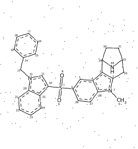 Cn1c2c(c3cc(S(=O)(=O)c4cn(Cc5ccccc5)c5ccccc45)ccc31)C1CCC(C2)N1